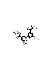 COC(=O)c1cc(C)nc(-c2cc(C(=O)OC)cc(C)n2)c1